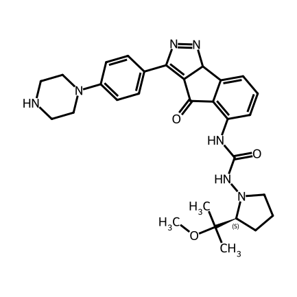 COC(C)(C)[C@@H]1CCCN1NC(=O)Nc1cccc2c1C(=O)C1=C(c3ccc(N4CCNCC4)cc3)N=NC12